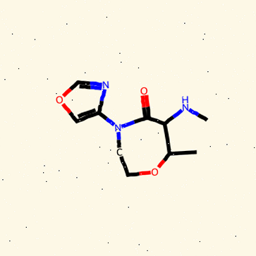 CNC1C(=O)N(c2cocn2)CCOC1C